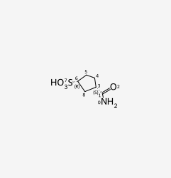 NC(=O)[C@H]1CC[C@@H](S(=O)(=O)O)C1